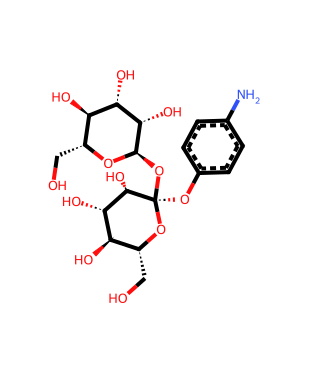 Nc1ccc(O[C@]2(O[C@H]3O[C@H](CO)[C@@H](O)[C@H](O)[C@@H]3O)O[C@H](CO)[C@@H](O)[C@H](O)[C@@H]2O)cc1